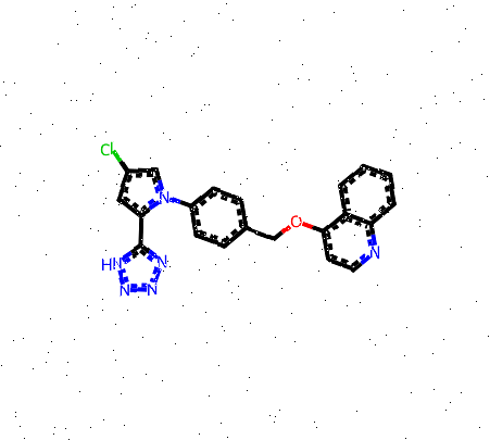 Clc1cc(-c2nnn[nH]2)n(-c2ccc(COc3ccnc4ccccc34)cc2)c1